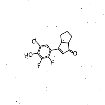 O=C1C=C(c2cc(Cl)c(O)c(F)c2F)C2CCCC12